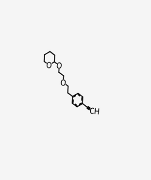 C#Cc1ccc(CCOCCOC2CCCCO2)cc1